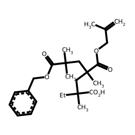 C=C(C)COC(=O)C(C)(CC(C)(C)C(=O)OCc1ccccc1)CC(C)(CC)C(=O)O